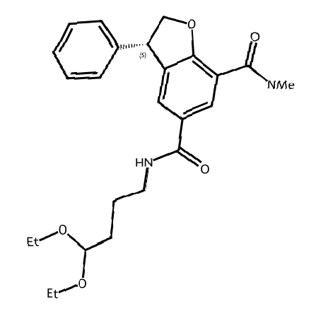 CCOC(CCCNC(=O)c1cc(C(=O)NC)c2c(c1)[C@H](c1ccccc1)CO2)OCC